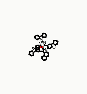 c1ccc2cc3c(cc2c1)c1c2ccccc2ccc1n3-c1cc2oc3ccccc3c2cc1-c1nc(-c2ccc3c(c2)sc2ccccc23)nc(-n2c3ccccc3c3ccccc32)n1